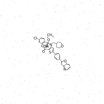 CCOP(=O)(c1ccc(Cl)cc1Cl)N(CC1CCOCC1)c1cc(-c2ccc(-c3cc4ncccc4o3)cc2)sc1C(=O)O